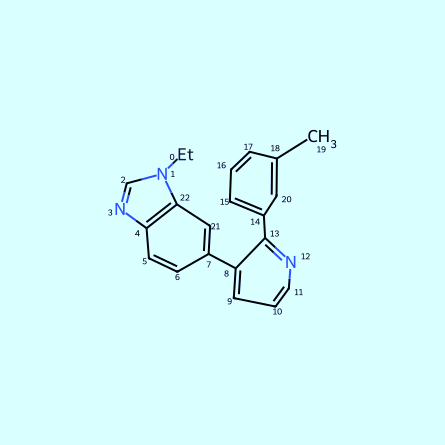 CCn1cnc2ccc(-c3cccnc3-c3cccc(C)c3)cc21